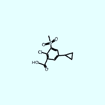 CS(=O)(=O)c1cc(C2CC2)cc(C(=O)O)c1Cl